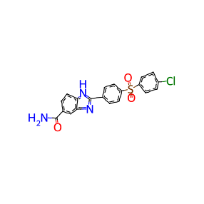 NC(=O)c1ccc2[nH]c(-c3ccc(S(=O)(=O)c4ccc(Cl)cc4)cc3)nc2c1